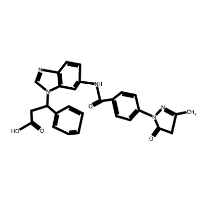 CC1=NN(c2ccc(C(=O)Nc3ccc4ncn(C(CC(=O)O)c5ccccc5)c4c3)cc2)C(=O)C1